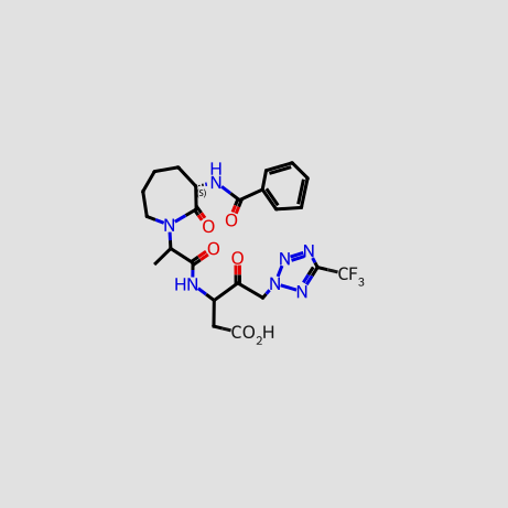 CC(C(=O)NC(CC(=O)O)C(=O)Cn1nnc(C(F)(F)F)n1)N1CCCC[C@H](NC(=O)c2ccccc2)C1=O